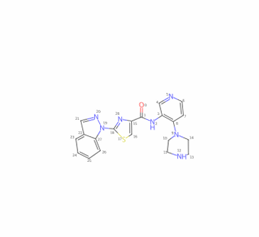 O=C(Nc1cnccc1N1CCNCC1)c1csc(-n2ncc3ccccc32)n1